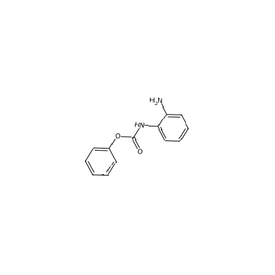 Nc1ccccc1NC(=O)Oc1ccccc1